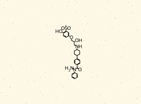 CS(=O)(=O)c1cc(OC[C@@H](O)CNC2CCC(c3ccc(C(=O)N(N)c4ccccc4)cc3)CC2)ccc1O